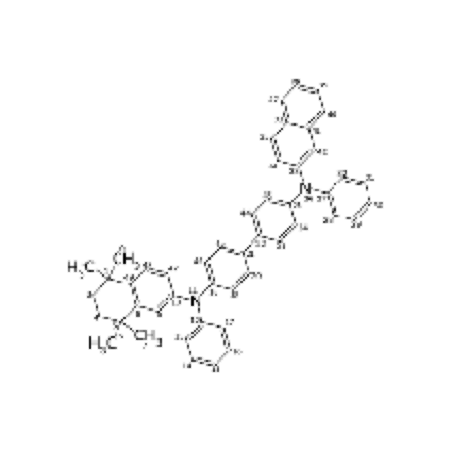 CC1(C)CCC(C)(C)c2cc(N(c3ccccc3)c3ccc(-c4ccc(N(c5ccccc5)c5ccc6ccccc6c5)cc4)cc3)ccc21